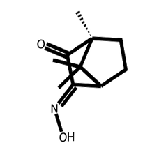 CC1(C)C2CC[C@]1(C)C(=O)C2=NO